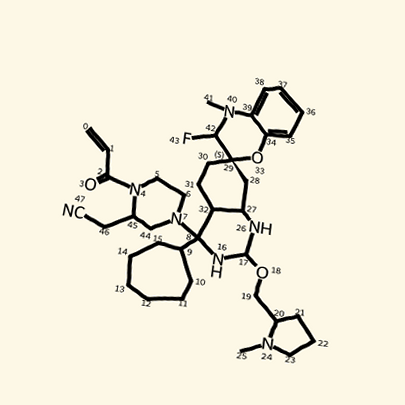 C=CC(=O)N1CCN(C2(C3CCCCCC3)NC(OCC3CCCN3C)NC3C[C@]4(CCC32)Oc2ccccc2N(C)C4F)CC1CC#N